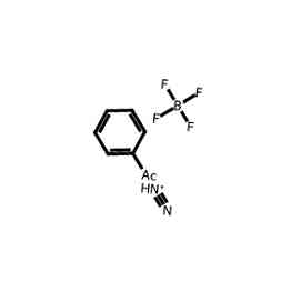 CC(=O)c1ccccc1.F[B-](F)(F)F.N#[NH+]